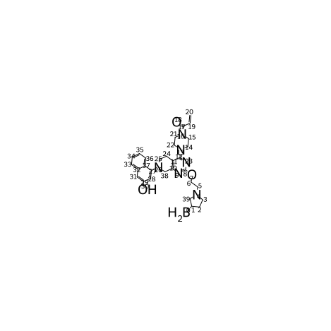 BC1CCN(CCOc2nc3c(c(N4CCN(C(=O)C=C)CC4)n2)CCN(c2cc(O)cc4ccccc24)C3)C1